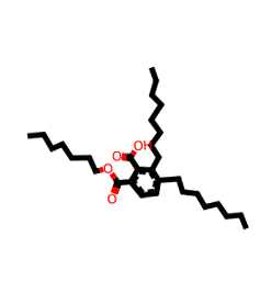 CCCCCCCCc1ccc(C(=O)OCCCCCCC)c(C(=O)O)c1CCCCCCCC